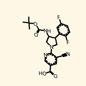 CC(C)(C)OC(=O)NC1CN(c2ncc(C(=O)O)cc2C#N)CC1c1cc(F)ccc1F